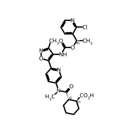 Cc1noc(-c2ccc(N(C)C(=O)[C@H]3CCCC[C@@H]3C(=O)O)cn2)c1NC(=O)O[C@H](C)c1cccnc1Cl